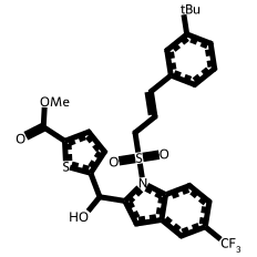 COC(=O)c1ccc(C(O)c2cc3cc(C(F)(F)F)ccc3n2S(=O)(=O)CC=Cc2cccc(C(C)(C)C)c2)s1